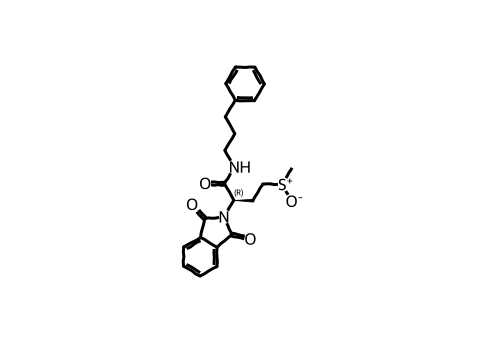 C[S+]([O-])CC[C@H](C(=O)NCCCc1ccccc1)N1C(=O)c2ccccc2C1=O